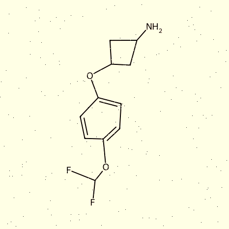 NC1CC(Oc2ccc(OC(F)F)cc2)C1